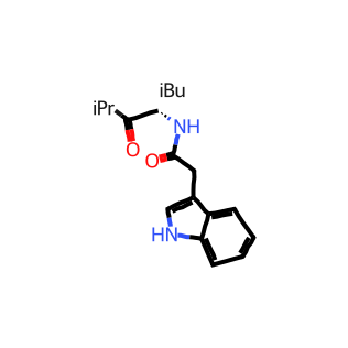 CC[C@H](C)[C@H](NC(=O)Cc1c[nH]c2ccccc12)C(=O)C(C)C